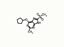 Cc1nc(OC2CCCC2)c2nc(S(C)(=O)=O)[nH]c2n1